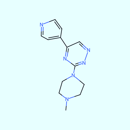 CN1CCN(c2nncc(-c3ccncc3)n2)CC1